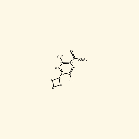 COC(=O)c1cc(Cl)c(C2CCC2)nc1Cl